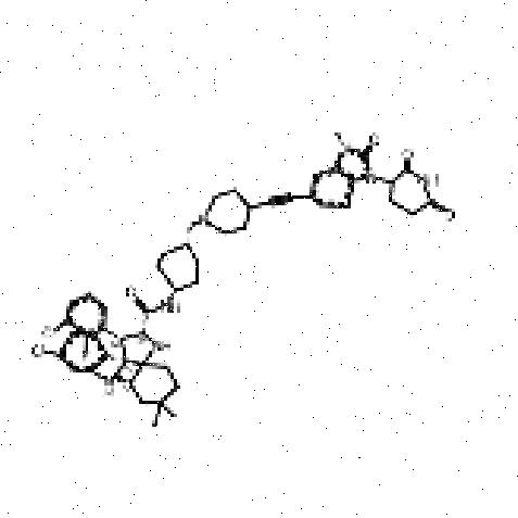 Cn1c(=O)n(C2CCC(=O)NC2=O)c2ccc(C#CC3CCN(C[C@H]4CC[C@H](NC(=O)[C@@H]5NC6(CCC(C)(C)CC6)[C@@]6(C(=O)Nc7cc(Cl)ccc76)[C@H]5c5cccc(Cl)c5F)CC4)CC3)cc21